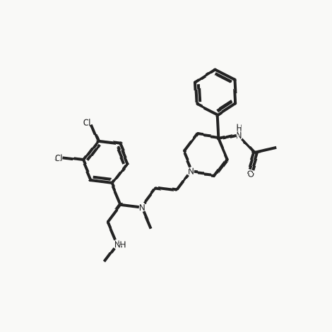 CNCC(c1ccc(Cl)c(Cl)c1)N(C)CCN1CCC(NC(C)=O)(c2ccccc2)CC1